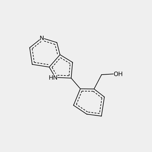 OCc1ccccc1-c1cc2cnccc2[nH]1